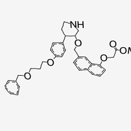 COC(=O)COc1cccc2ccc(COC3CNCCC3c3ccc(OCCCOCc4ccccc4)cc3)cc12